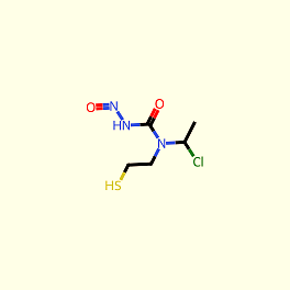 CC(Cl)N(CCS)C(=O)NN=O